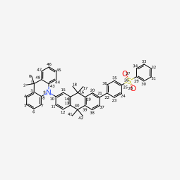 CC1(C)c2ccccc2N(c2ccc3c(c2)C(C)(C)c2cc(-c4ccc(S(=O)(=O)c5ccccc5)cc4)ccc2C3(C)C)c2ccccc21